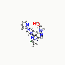 Cc1cccnc1N1CCN(c2nc(C3(F)CC3)nc3cnc(N(C)CCO)cc23)CC1